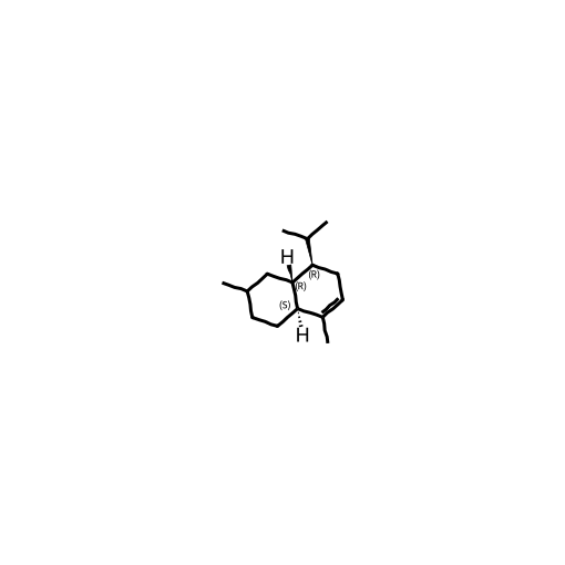 CC1=CC[C@H](C(C)C)[C@H]2CC(C)CC[C@H]12